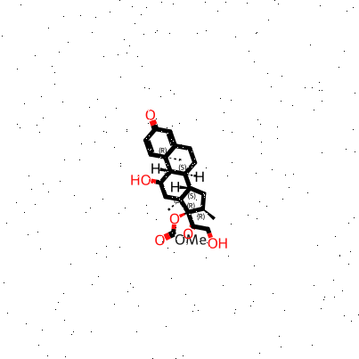 COC(=O)O[C@]1(C(=O)CO)[C@H](C)C[C@H]2[C@@H]3CCC4=CC(=O)C=C[C@]4(C)[C@H]3C(O)C[C@@]21C